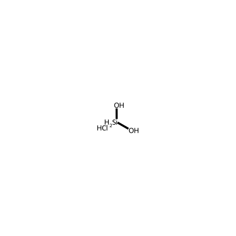 Cl.O[SiH2]O